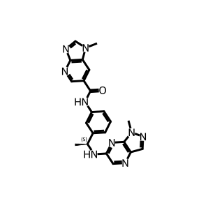 C[C@H](Nc1cnc2cnn(C)c2n1)c1cccc(NC(=O)c2cnc3ncn(C)c3c2)c1